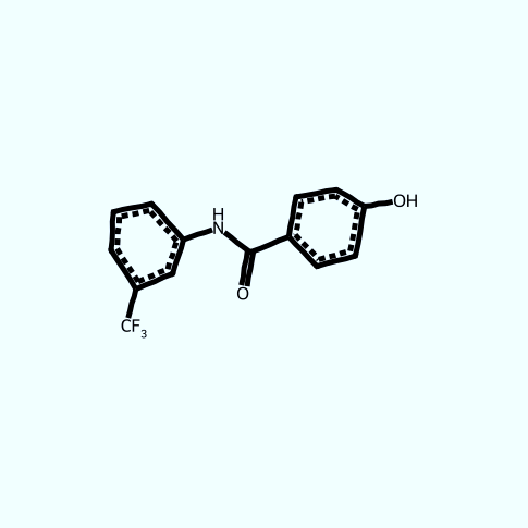 O=C(Nc1cccc(C(F)(F)F)c1)c1ccc(O)cc1